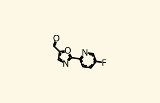 O=Cc1cnc(-c2ccc(F)cn2)o1